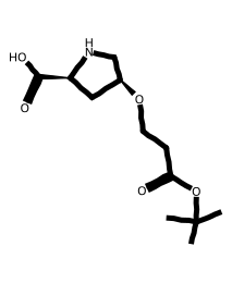 CC(C)(C)OC(=O)CCO[C@@H]1CN[C@H](C(=O)O)C1